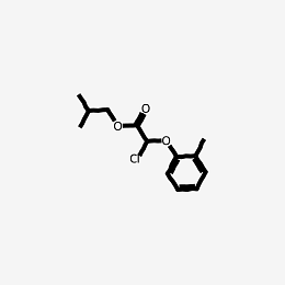 Cc1ccccc1OC(Cl)C(=O)OCC(C)C